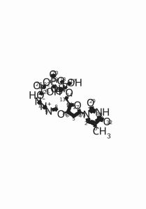 Cc1cn([C@H]2C[C@@H](OCN=[N+]=[N-])[C@@H](COP(=O)(O)OP(=O)(O)OP(=O)(O)O)O2)c(=O)[nH]c1=O